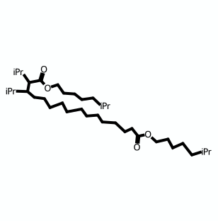 CC(C)CCCCCOC(=O)CCCCCCCCCCCCC(C(C)C)C(C(=O)OCCCCCC(C)C)C(C)C